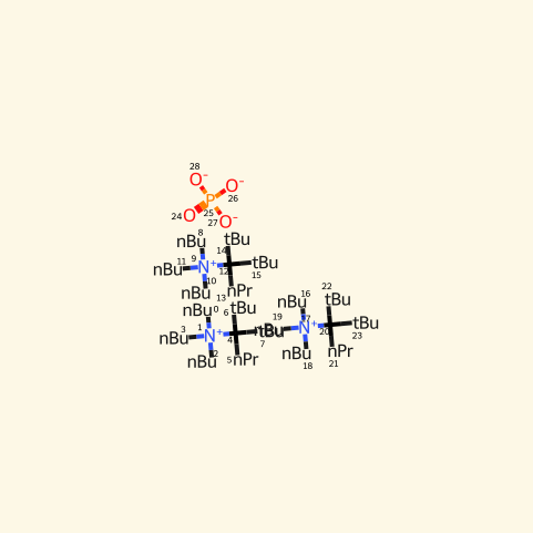 CCCC[N+](CCCC)(CCCC)C(CCC)(C(C)(C)C)C(C)(C)C.CCCC[N+](CCCC)(CCCC)C(CCC)(C(C)(C)C)C(C)(C)C.CCCC[N+](CCCC)(CCCC)C(CCC)(C(C)(C)C)C(C)(C)C.O=P([O-])([O-])[O-]